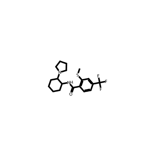 CSc1cc(C(F)(F)F)ccc1C(=O)NC1CCCCC1N1CCCC1